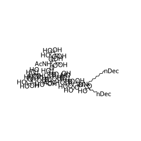 CCCCCCCCCCCCC/C=C/[C@@H](O)[C@H](CO[C@@H]1OC(CO)[C@@H](O[C@@H]2OC(CO)[C@H](O)[C@H](O[C@@H]3OC(CO)[C@@H](O)[C@H](O[C@@H]4OC(CO[C@@H]5OC(CO)[C@@H](O)[C@H](O[C@@H]6OC(CO)[C@H](O)[C@H](O)C6O)C5NC(C)=O)[C@H](O)[C@H](O[C@@H]5OC(CO)[C@@H](O)[C@H](O[C@@H]6OC(CO)[C@H](O)[C@H](O)C6O[C@H]6OC(C)[C@@H](O)C(O)[C@@H]6O)C5NC(C)=O)C4O)C3NC(C)=O)C2O)[C@H](O)C1O)NC(=O)CCCCCCCCCCCCCCCCCCC